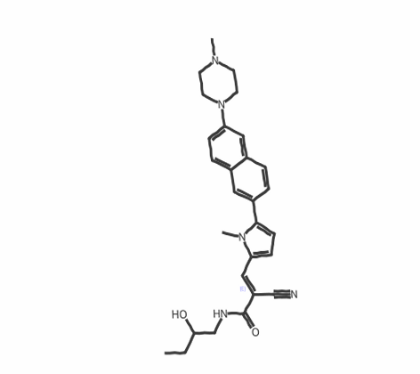 CCC(O)CNC(=O)/C(C#N)=C/c1ccc(-c2ccc3cc(N4CCN(C)CC4)ccc3c2)n1C